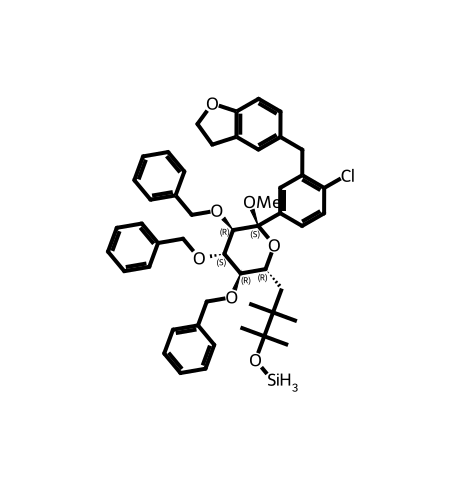 CO[C@@]1(c2ccc(Cl)c(Cc3ccc4c(c3)CCO4)c2)O[C@H](CC(C)(C)C(C)(C)O[SiH3])[C@@H](OCc2ccccc2)[C@H](OCc2ccccc2)[C@H]1OCc1ccccc1